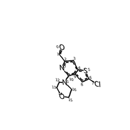 O=Cc1cc2sc(Cl)cc2c(N2CCOCC2)n1